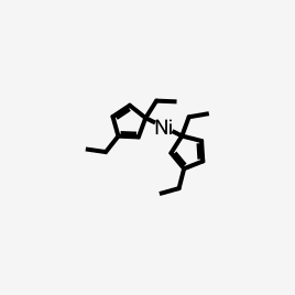 CCC1=C[C](CC)([Ni][C]2(CC)C=CC(CC)=C2)C=C1